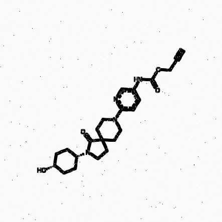 C#CCOC(=O)Nc1ccc(N2CCC3(CC2)CCN([C@H]2CC[C@@H](O)CC2)C3=O)nc1